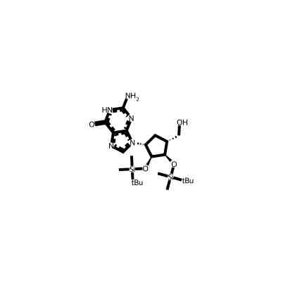 CC(C)(C)[Si](C)(C)O[C@@H]1[C@@H](CO)C[C@@H](n2cnc3c(=O)[nH]c(N)nc32)[C@@H]1O[Si](C)(C)C(C)(C)C